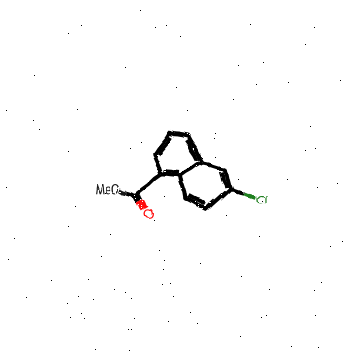 COC(=O)c1cccc2cc(Cl)ccc12